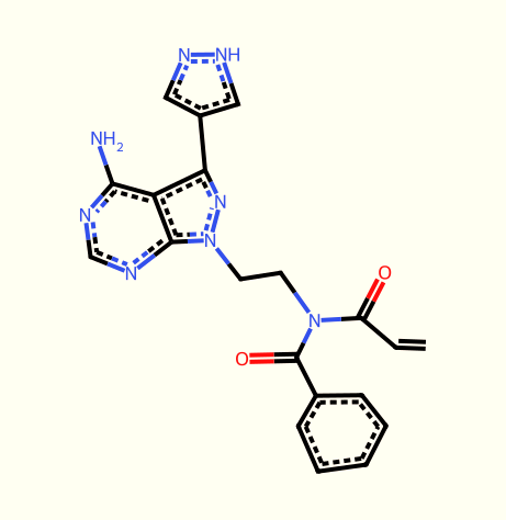 C=CC(=O)N(CCn1nc(-c2cn[nH]c2)c2c(N)ncnc21)C(=O)c1ccccc1